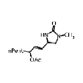 CCCCCC(C=CC1CN(C)C(=O)N1)OC(C)=O